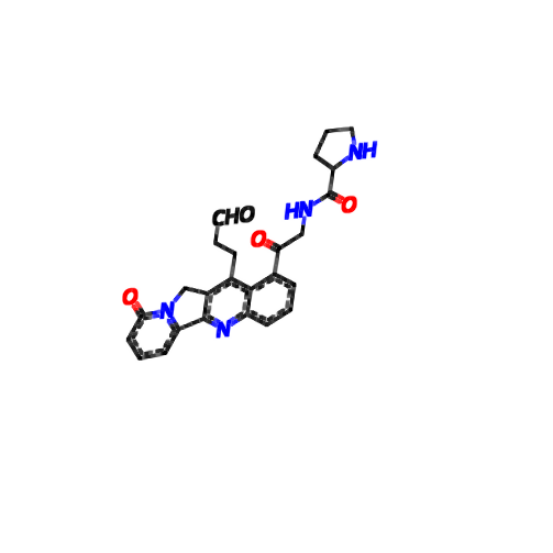 O=CCCc1c2c(nc3cccc(C(=O)CNC(=O)C4CCCN4)c13)-c1cccc(=O)n1C2